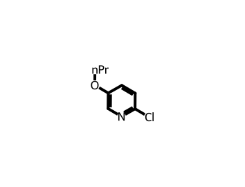 CCCOc1ccc(Cl)nc1